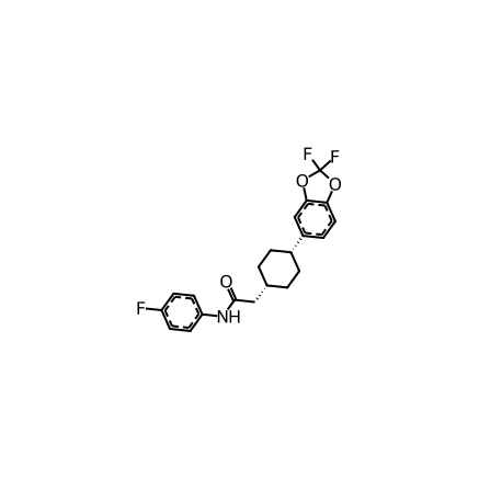 O=C(C[C@H]1CC[C@@H](c2ccc3c(c2)OC(F)(F)O3)CC1)Nc1ccc(F)cc1